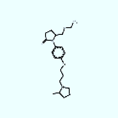 CC1CCCN1CCCOc1ccc(N2C(=O)CCC2CNCC(F)(F)F)cc1